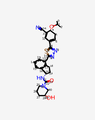 CC(C)O[C@@H]1CC=C(c2nnc(-c3cccc4c3CC[C@@H]4NC(=O)N3CCC[C@H](O)C3)s2)C=C1C#N